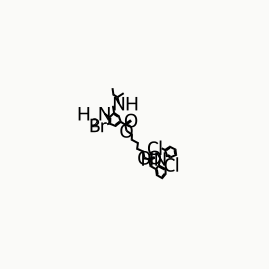 CCC(C)NCc1cc(C(=O)OCCCCCOC(=O)Cc2ccccc2Nc2c(Cl)cccc2Cl)cc(Br)c1N